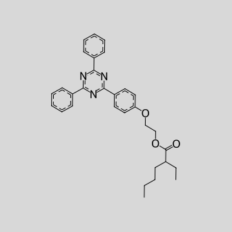 CCCCC(CC)C(=O)OCCOc1ccc(-c2nc(-c3ccccc3)nc(-c3ccccc3)n2)cc1